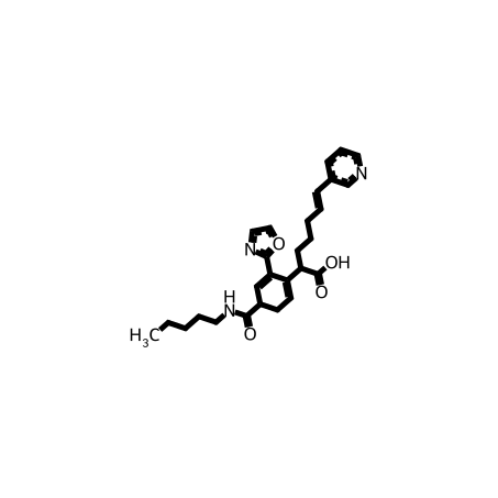 CCCCCNC(=O)C1C=C(c2ncco2)C(C(CCCC=Cc2cccnc2)C(=O)O)=CC1